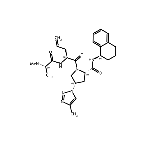 C=CC[C@H](NC(=O)[C@H](C)NC)C(=O)N1C[C@@H](n2cc(C)nn2)C[C@H]1C(=O)N[C@@H]1CCCc2ccccc21